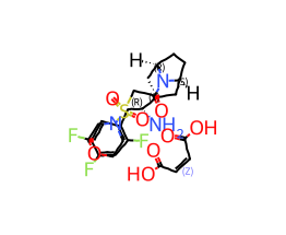 N[C@H](Cc1cc(F)c(F)cc1F)[C@@H]1C[C@H]2CC[C@@H](C1)N2C(=O)CS(=O)(=O)N1CCOCC1.O=C(O)/C=C\C(=O)O